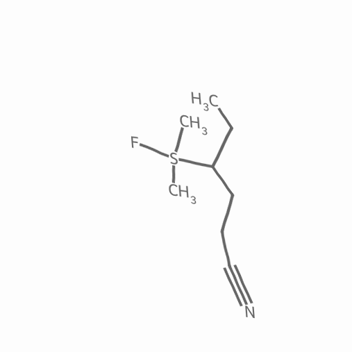 CCC(CCC#N)S(C)(C)F